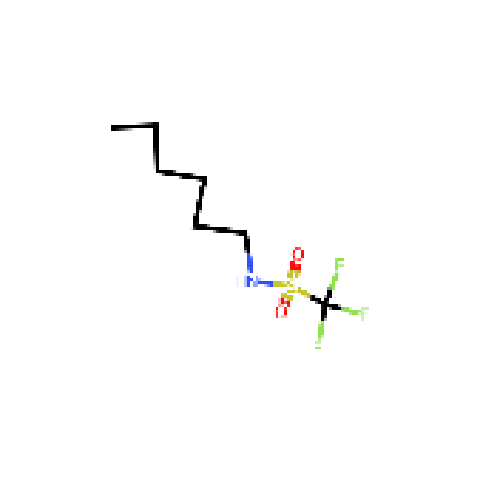 CCCCCCNS(=O)(=O)C(F)(F)F